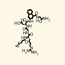 CSSCCC(=O)N[C@@H](CCCCN=C(N)N)C(=O)NCC(=O)N[C@@H](CC(=O)O)C(=O)Nc1cc(C(=O)NCC(N)=O)c2ccccc2c1